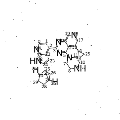 c1cc(-c2nc(N3CCNCC3)c3c(C4CC4)cncc3n2)c2cc([C@@H]3C[C@@H]4CC[C@H]3C4)[nH]c2n1